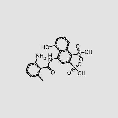 Cc1cccc(N)c1C(=O)Nc1cc(S(=O)(=O)O)c(S(=O)(=O)O)c2cccc(O)c12